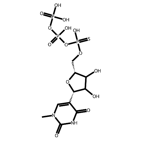 Cn1cc([C@@H]2O[C@H](COP(O)(=S)OP(=O)(O)OP(=O)(O)O)C(O)C2O)c(=O)[nH]c1=O